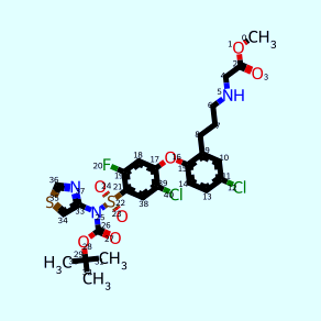 COC(=O)CNCCCc1cc(Cl)ccc1Oc1cc(F)c(S(=O)(=O)N(C(=O)OC(C)(C)C)c2cscn2)cc1Cl